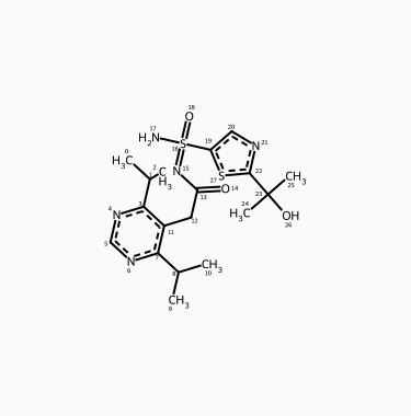 CC(C)c1ncnc(C(C)C)c1CC(=O)N=S(N)(=O)c1cnc(C(C)(C)O)s1